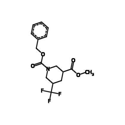 COC(=O)C1CC(C(F)(F)F)CN(C(=O)OCc2ccccc2)C1